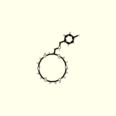 Cc1ccc(COCC2COCCOCCOCCOCCOCCO2)cc1